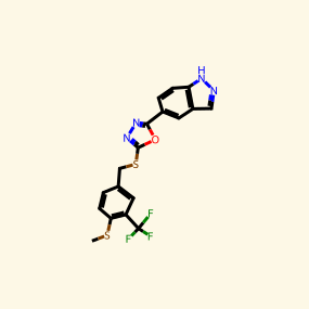 CSc1ccc(CSc2nnc(-c3ccc4[nH]ncc4c3)o2)cc1C(F)(F)F